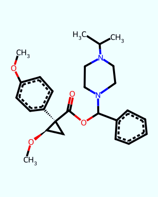 COc1ccc([C@]2(C(=O)OC(c3ccccc3)N3CCN(C(C)C)CC3)C[C@H]2OC)cc1